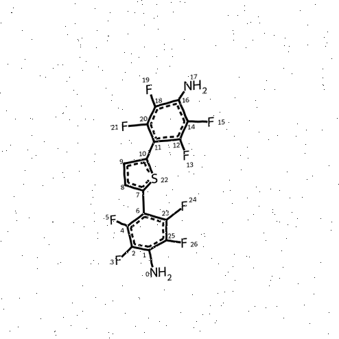 Nc1c(F)c(F)c(-c2ccc(-c3c(F)c(F)c(N)c(F)c3F)s2)c(F)c1F